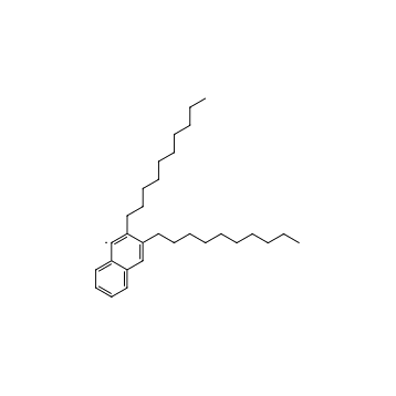 CCCCCCCCCCc1[c]c2ccccc2cc1CCCCCCCCCC